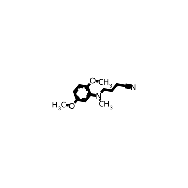 COc1ccc(OC)c(N(C)CCCC#N)c1